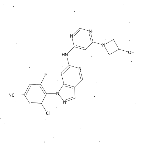 N#Cc1cc(F)c(-n2ncc3cnc(Nc4cc(N5CC(O)C5)ncn4)cc32)c(Cl)c1